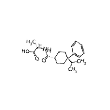 CC(C)[C@]1(c2ccccc2)CC[C@@H](C(=O)N[C@@H](C)C(=O)O)CC1